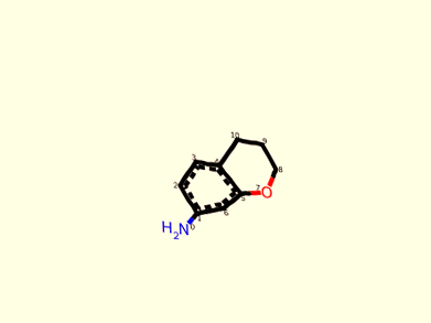 Nc1ccc2c(c1)OCCC2